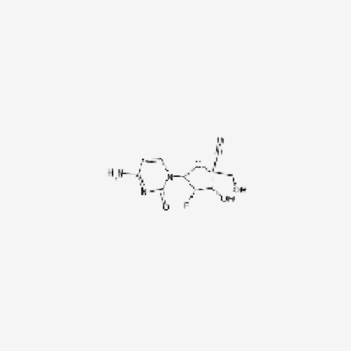 C#CC1(CO)OC(n2ccc(N)nc2=O)C(F)C1O